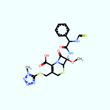 CO[C@]1(NC(=O)C(NC=S)c2ccccc2)C(=O)N2C(C(=O)O)=C(CSc3nnnn3C)CSC21